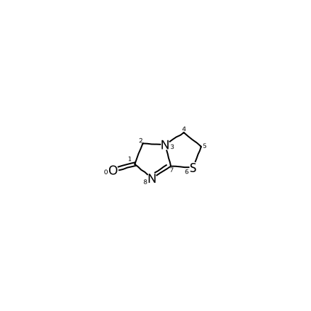 O=C1CN2CCSC2=N1